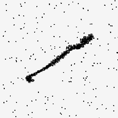 N/C(=C\N(N)CCOCCOCCOCCOCCOCCOCCOCCOCCOCCOCCOCCOCCC(=O)ON1C(=O)CCC1=O)c1cccc(NC(=O)N2CCC3(CC2)NC(=O)N(c2nc(C(F)(F)F)cs2)C3=O)c1